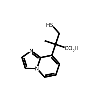 CC(CS)(C(=O)O)c1cccn2ccnc12